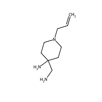 C=CCN1CCC(N)(CN)CC1